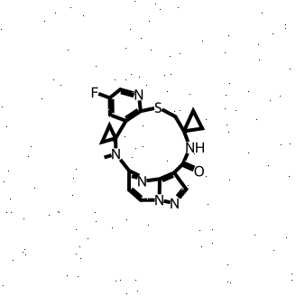 CN1c2ccn3ncc(c3n2)C(=O)NC2(CC2)CSc2ncc(F)cc2C12CC2